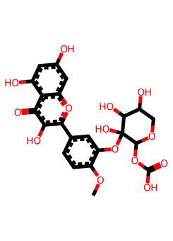 COc1ccc(-c2oc3cc(O)cc(O)c3c(=O)c2O)cc1OC1(O)C(OC(=O)O)OCC(O)C1O